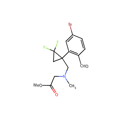 COC(=O)CN(C)CC1(c2cc(Br)ccc2C=O)CC1(F)F